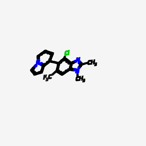 Cc1nc2c(Cl)c(-c3cccn4cccc34)c(C(F)(F)F)cc2n1C